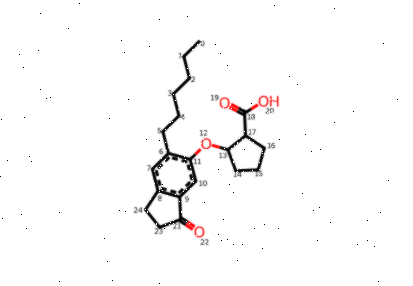 CCCCCCc1cc2c(cc1OC1CCCC1C(=O)O)C(=O)CC2